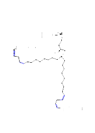 CCCCC/C=C\C/C=C\CCCCCCCCC1(CCCCCCCC/C=C\C/C=C\CCCCCC)OCC(CCN(C)C)O1